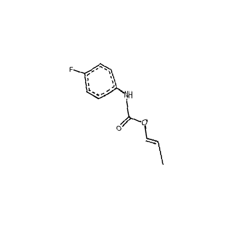 CC=COC(=O)Nc1ccc(F)cc1